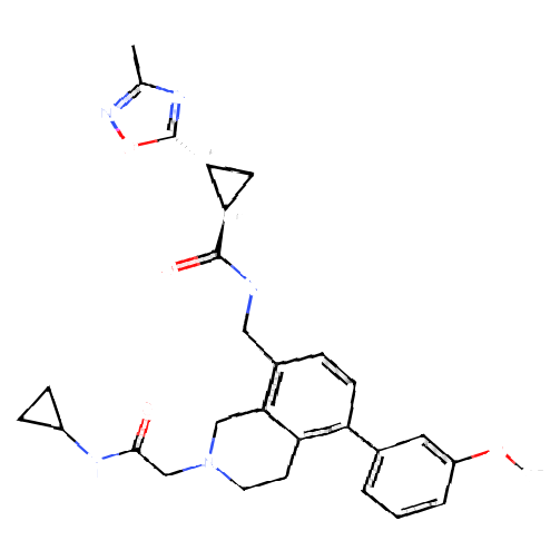 Cc1noc([C@@H]2C[C@H]2C(=O)NCc2ccc(-c3cccc(OC(F)(F)F)c3)c3c2CN(CC(=O)NC2CC2)CC3)n1